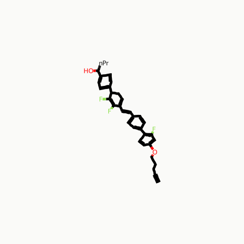 C#CCCCOc1ccc(-c2ccc(/C=C/C3=CCC(c4ccc(C(O)CCC)cc4)C(F)=C3F)cc2)c(F)c1